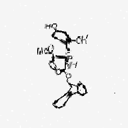 COC(=O)[C@H](Cc1ccc(O)cc1O)NC(=O)OCC1c2ccccc2-c2ccccc21